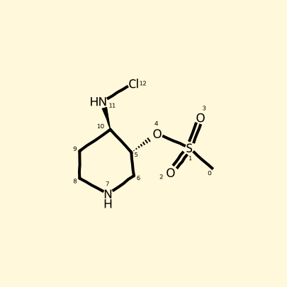 CS(=O)(=O)O[C@@H]1CNCC[C@H]1NCl